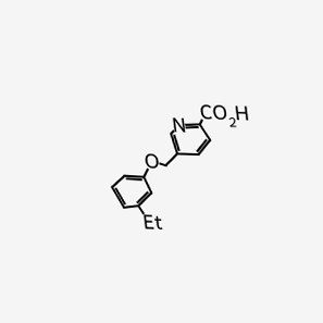 CCc1cccc(OCc2ccc(C(=O)O)nc2)c1